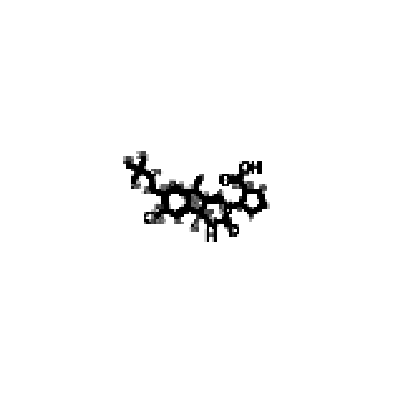 CC(C)C1=CN(C2CCCC2C(=O)O)C(=O)N[C@@]1(C)c1ccc(CCC(C)(C)C)c(Cl)c1